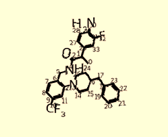 CC(C(=O)NCc1ccc(C(F)(F)F)cc1N1CCC(Cc2ccccc2)CC1)c1ccc(N)c(F)c1